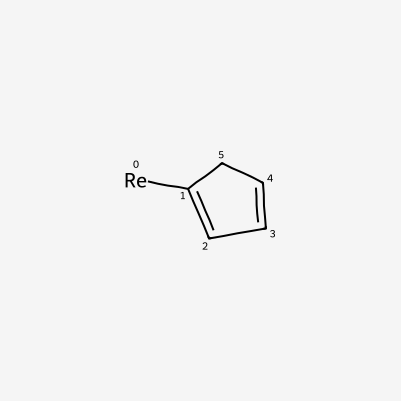 [Re][C]1=CC=CC1